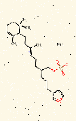 CC1=CCCC(C)(C)C1CC/C(C)=C/CCC(CCCc1ccoc1)COS(=O)(=O)[O-].[Na+]